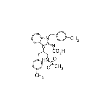 Cc1ccc(CC(CNS(C)(=O)=O)n2c(=NC(=O)O)n(Cc3ccc(C)cc3)c3ccccc32)cc1